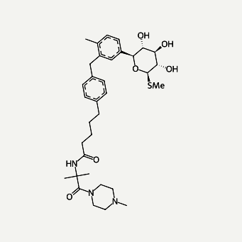 CS[C@H]1O[C@@H](c2ccc(C)c(Cc3ccc(CCCCC(=O)NC(C)(C)C(=O)N4CCN(C)CC4)cc3)c2)[C@H](O)[C@@H](O)[C@@H]1O